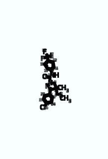 CSCC1(C)CN(C(=O)Nc2ccc(C(F)(F)F)cc2)N=C1c1ccc(Cl)cc1